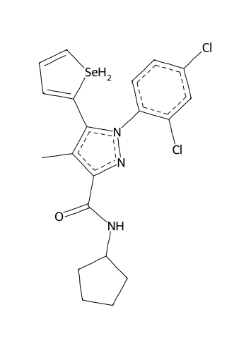 Cc1c(C(=O)NC2CCCC2)nn(-c2ccc(Cl)cc2Cl)c1C1=CC=C[SeH2]1